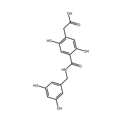 O=C(O)Cc1cc(O)c(C(=O)NCc2cc(O)cc(O)c2)cc1O